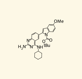 COc1ccc2c(c1)cc(-c1ccc3nc(N)nc(NC4CCCCC4)c3c1)n2C(=O)OC(C)(C)C